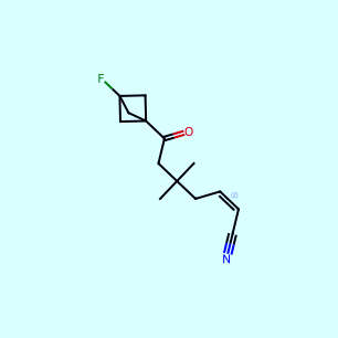 CC(C)(C/C=C\C#N)CC(=O)C12CC(F)(C1)C2